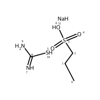 CCCS(=O)(=O)O.N=C(N)S.[NaH]